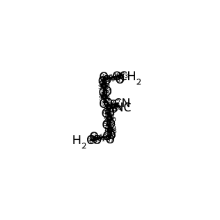 [C-]#[N+]C(C#N)=C1Sc2c(OC(=O)c3ccc(OC(=O)c4ccc(OC(=O)OCCCCOC(=O)C=C)cc4)cc3)ccc(OC(=O)c3ccc(OC(=O)c4ccc(OC(=O)OCCCCOC(=O)C=C)cc4)cc3)c2S1